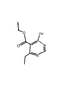 CCOC(=O)c1c(O)ncnc1CC